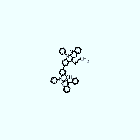 C=C/C=N\C1=C2Cc3ccccc3N=C2N(c2ccccc2)c2ccc(-c3ccc(N(c4ccccc4)c4nc(-c5ccccc5)c5ccccc5n4)c(C)c3)cc21